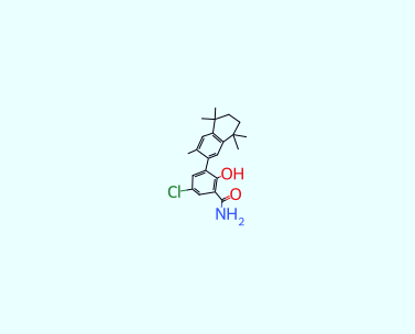 Cc1cc2c(cc1-c1cc(Cl)cc(C(N)=O)c1O)C(C)(C)CCC2(C)C